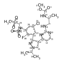 COC(=O)NC(C)CNc1nccc(-c2cn(C(C)C)nc2-c2cc(Cl)cc(N(CS(C)(=O)=O)[SH](=O)=O)c2F)n1